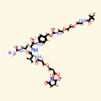 CC(C)[C@@H](NC(=O)CCOCCC(=O)ON1C(=O)CCC1=O)C(=O)N[C@H](CCCNC(N)=O)C(=O)Nc1ccc(COC(=O)NCCOCCOCCNC(=O)C(C)(C)C)cc1